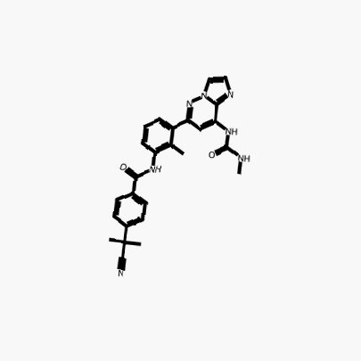 CNC(=O)Nc1cc(-c2cccc(NC(=O)c3ccc(C(C)(C)C#N)cc3)c2C)nn2ccnc12